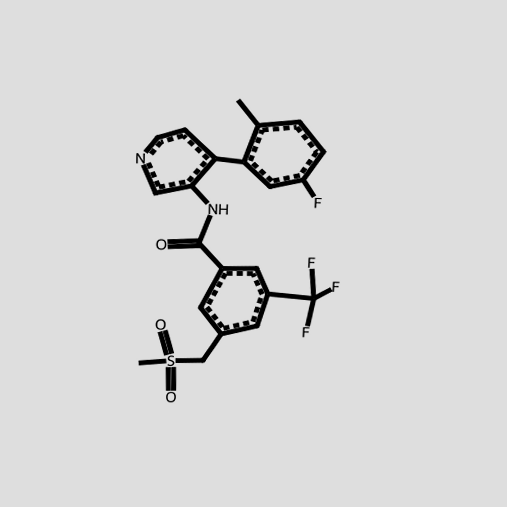 Cc1ccc(F)cc1-c1ccncc1NC(=O)c1cc(CS(C)(=O)=O)cc(C(F)(F)F)c1